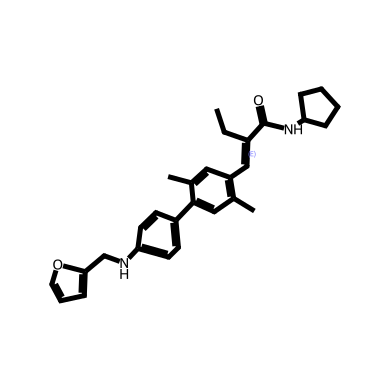 CC/C(=C\c1cc(C)c(-c2ccc(NCc3ccco3)cc2)cc1C)C(=O)NC1CCCC1